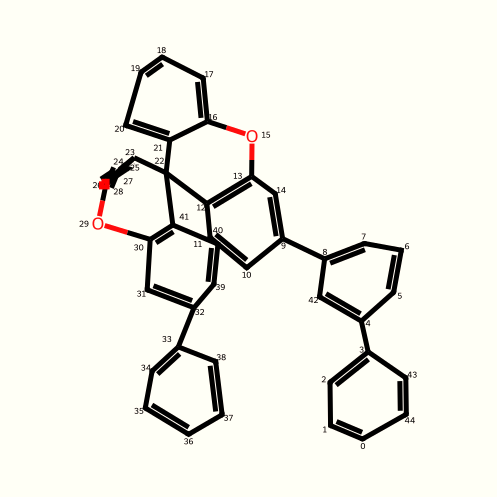 c1ccc(-c2cccc(-c3ccc4c(c3)Oc3ccccc3C43c4ccccc4Oc4cc(-c5ccccc5)ccc43)c2)cc1